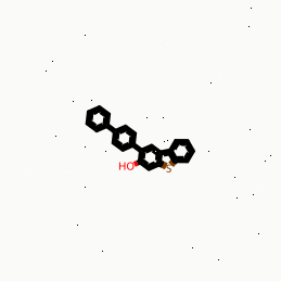 Oc1cc2sc3ccccc3c2cc1-c1ccc(-c2ccccc2)cc1